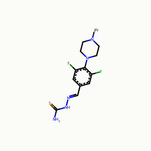 CC(C)N1CCN(c2c(F)cc(C=NNC(N)=S)cc2F)CC1